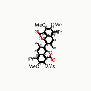 COc1c(OC)c2c3c(c(-c4c(C)cc5c(C(C)C)c(OC)c(OC)c6c5c4OC6=O)c(C)cc3c1C(C)C)OC2=O